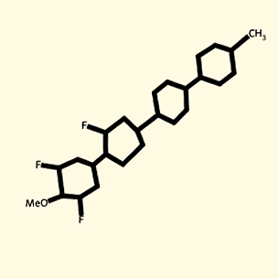 COC1C(F)CC(C2CCC(C3CCC(C4CCC(C)CC4)CC3)CC2F)CC1F